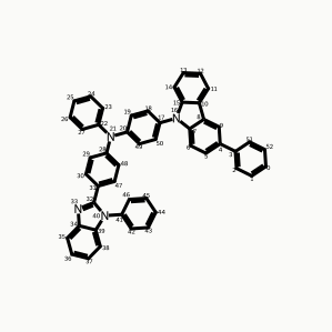 c1ccc(-c2ccc3c(c2)c2ccccc2n3-c2ccc(N(c3ccccc3)c3ccc(-c4nc5ccccc5n4-c4ccccc4)cc3)cc2)cc1